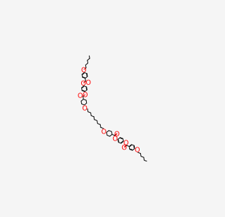 CCCCCCOc1ccc(C(=O)Oc2ccc(OC(=O)C3CCC(OCCCCCCCCCCCOC4CCC(C(=O)Oc5ccc(OC(=O)c6ccc(OCCCCCC)cc6)cc5)CC4)CC3)cc2)cc1